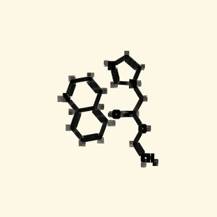 C=COC(=O)Cn1ccnc1.c1ccc2ncccc2c1